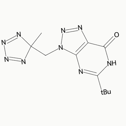 CC1(Cn2nnc3c(=O)[nH]c(C(C)(C)C)nc32)N=NN=N1